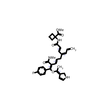 C=C/C=C(\C=C\C(=O)NC1(C(=O)OC)CCC1)C/C=C/C(C(=O)NC)=C(\O/C(C)=C1\C=CNC1)c1ccc(F)cc1